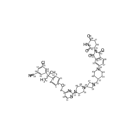 CC(C)(c1ccc(OCc2ccnc(N3CCN(C4CN(CC5CCN(c6ccc7c(c6)C(=O)N(C6CCC(=O)NC6=O)C7=O)CC5)C4)CC3)n2)cc1)c1cc(Cl)cc(C#N)c1